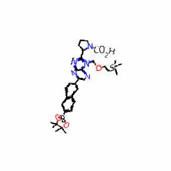 CC1(C)OB(c2ccc3cc(-c4cnc5c(n4)nc(C4CCCN4C(=O)O)n5COCC[Si](C)(C)C)ccc3c2)OC1(C)C